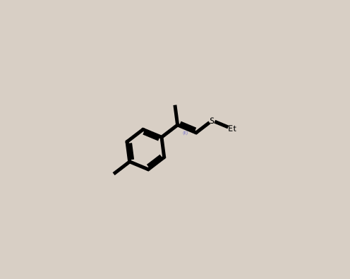 CCS/C=C(\C)c1ccc(C)cc1